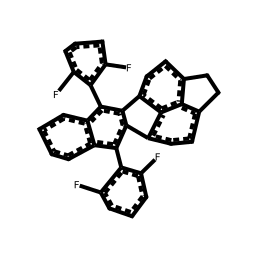 Fc1cccc(F)c1-c1c2c(c(-c3c(F)cccc3F)c3ccccc13)-c1ccc3c4c(ccc-2c14)CC3